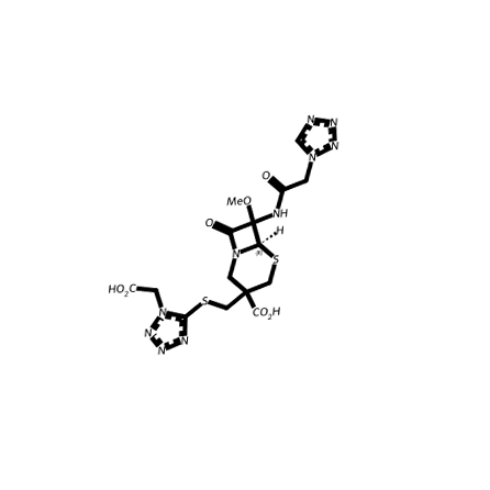 COC1(NC(=O)Cn2cnnn2)C(=O)N2CC(CSc3nnnn3CC(=O)O)(C(=O)O)CS[C@@H]21